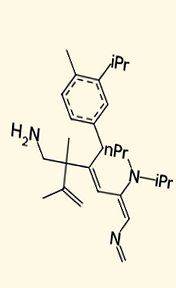 C=N/C=C(\C=C(/Cc1ccc(C)c(C(C)C)c1)C(C)(CN)C(=C)C)N(CCC)C(C)C